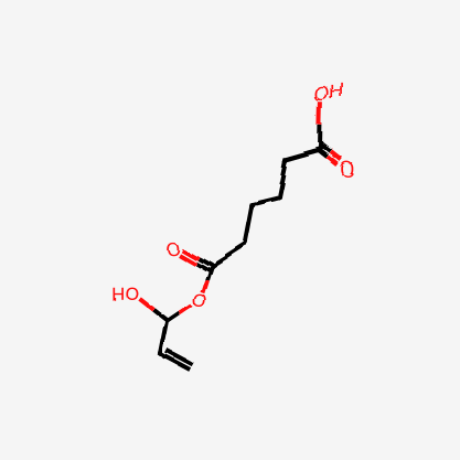 C=CC(O)OC(=O)CCCCC(=O)O